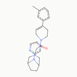 Cc1cccc(C2=CCN(C(=O)CN3CC4CCC(C3)N4c3cnccn3)CC2)c1